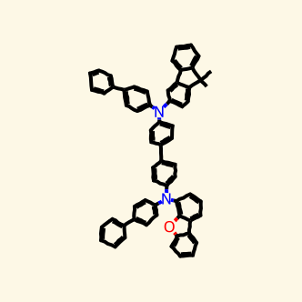 CC1(C)c2ccccc2-c2cc(N(c3ccc(-c4ccccc4)cc3)c3ccc(-c4ccc(N(c5ccc(-c6ccccc6)cc5)c5cccc6c5oc5ccccc56)cc4)cc3)ccc21